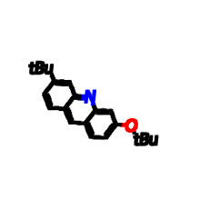 CC(C)(C)Oc1ccc2cc3ccc(C(C)(C)C)cc3nc2c1